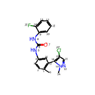 Cc1ccc(NC(=O)Nc2ccccc2F)cc1-c1c(Cl)cnn1C